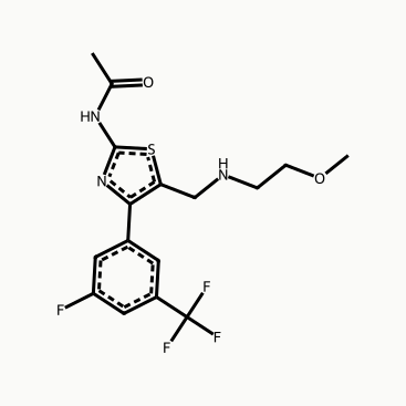 COCCNCc1sc(NC(C)=O)nc1-c1cc(F)cc(C(F)(F)F)c1